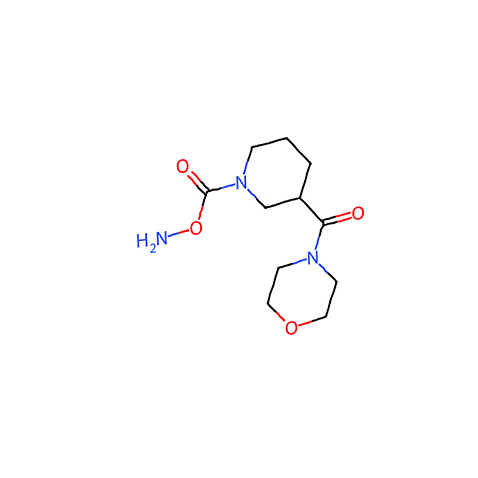 NOC(=O)N1CCCC(C(=O)N2CCOCC2)C1